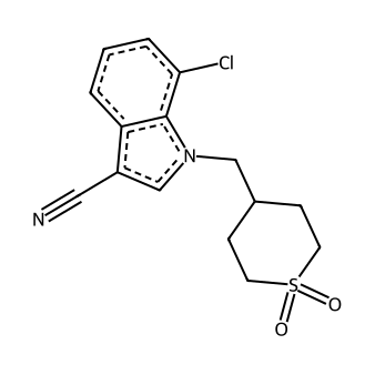 N#Cc1cn(CC2CCS(=O)(=O)CC2)c2c(Cl)cccc12